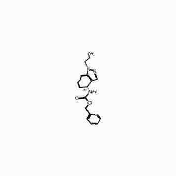 CCCn1ncc2c1CCC[C@H]2NC(=O)OCc1ccccc1